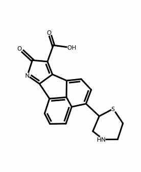 O=C(O)C1=C2C(=NC1=O)c1cccc3c(C4CNCCS4)ccc2c13